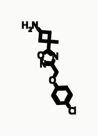 CC1(c2nc(COc3ccc(Cl)cc3)no2)CC(N)C1